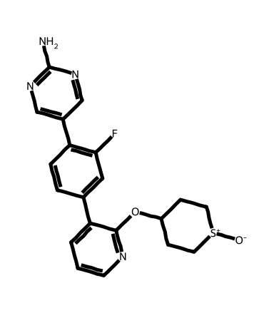 Nc1ncc(-c2ccc(-c3cccnc3OC3CC[S+]([O-])CC3)cc2F)cn1